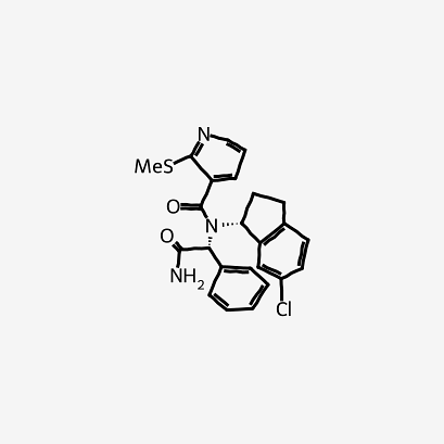 CSc1ncccc1C(=O)N([C@@H]1CCc2ccc(Cl)cc21)[C@@H](C(N)=O)c1ccccc1